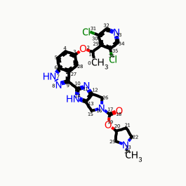 CC(Oc1ccc2[nH]nc(-c3nc4c([nH]3)CN(C(=O)OC3CCN(C)C3)C4)c2c1)c1c(Cl)cncc1Cl